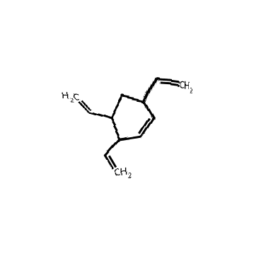 C=CC1C=CC(C=C)C(C=C)C1